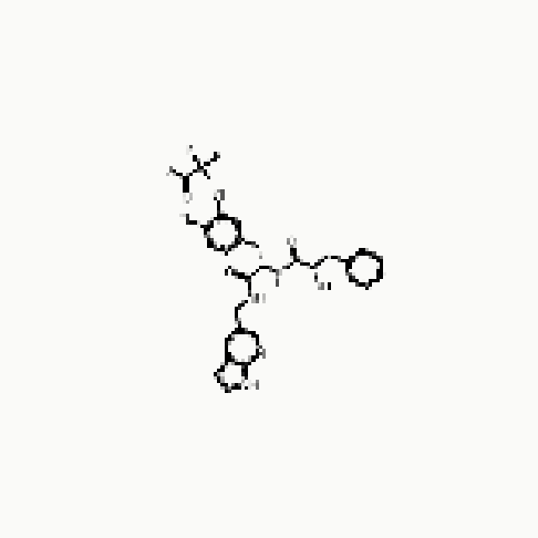 O=C(N[C@@H](Cc1ccc(Cl)c(Cl)c1)C(=O)NCc1cnc2[nH]ccc2c1)[C@H](O)Cc1ccccc1.O=C(O)C(F)(F)F